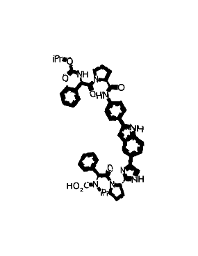 CC(C)OC(=O)N[C@@H](C(=O)N1CCC[C@H]1C(=O)Nc1ccc(-c2cc3cc(-c4c[nH]c([C@@H]5CCCN5C(=O)[C@@H](c5ccccc5)N(C(=O)O)C(C)C)n4)ccc3[nH]2)cc1)c1ccccc1